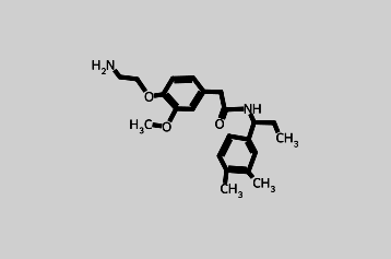 CCC(NC(=O)Cc1ccc(OCCN)c(OC)c1)c1ccc(C)c(C)c1